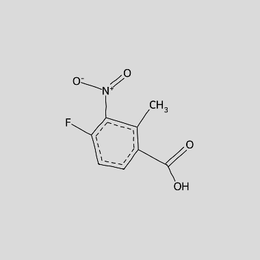 Cc1c(C(=O)O)ccc(F)c1[N+](=O)[O-]